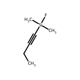 CCC#C[Si](C)(C)F